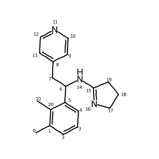 Cc1cccc(C(Cc2ccncc2)NC2=NCCC2)c1C